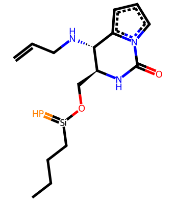 C=CCN[C@@H]1c2cccn2C(=O)N[C@H]1CO[Si](=P)CCCC